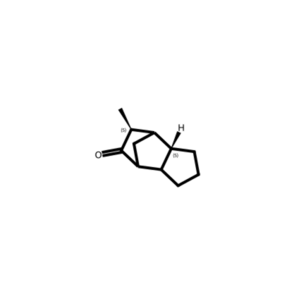 C[C@@H]1C(=O)C2CC1[C@@H]1CCCC21